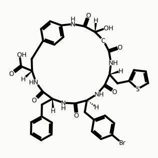 O=C1C[C@@H](O)C(=O)Nc2ccc(cc2)C[C@@H](C(=O)O)NC(=O)[C@@H](Cc2ccccc2)NC(=O)[C@H](Cc2ccc(Br)cc2)NC(=O)[C@@H](Cc2cccs2)N1